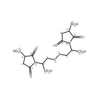 O=C(O)C(CSSCC(C(=O)O)N1C(=O)CC(S(=O)(=O)O)C1=O)N1C(=O)CC(S(=O)(=O)O)C1=O